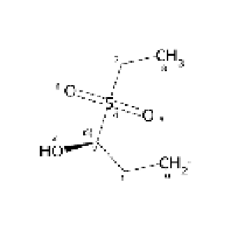 [CH2]C[C@@H](O)S(=O)(=O)CC